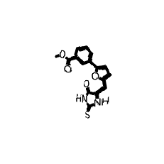 COC(=O)c1cccc(-c2ccc(C=C3NC(=S)NC3=O)o2)c1